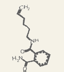 C=CCCCCNC(=O)c1ccccc1C(N)=O